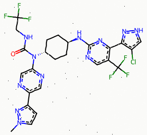 Cn1ccc(-c2cnc(N(C(=O)NCC(F)(F)F)[C@H]3CC[C@H](Nc4ncc(C(F)(F)F)c(-c5n[nH]cc5Cl)n4)CC3)cn2)n1